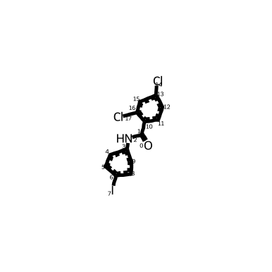 O=C(Nc1ccc(I)cc1)c1ccc(Cl)cc1Cl